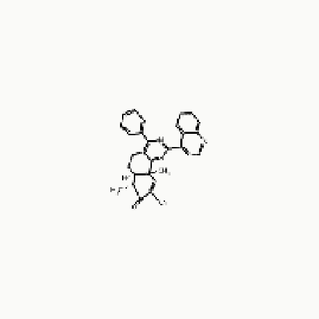 C[C@H]1C(=O)C(C#N)=C[C@@]2(C)c3nc(-c4ccnc5ccccc45)nc(-c4ccccc4)c3CC[C@H]12